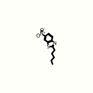 CCCCCc1nc2ccc([N+](=O)[O-])cc2s1